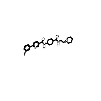 O=C(NC1CCC(C(=O)NCCN2CCCCC2)CC1)c1ccc(-c2cccc(F)c2)nc1